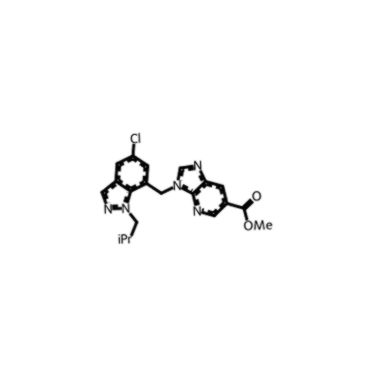 COC(=O)c1cnc2c(c1)ncn2Cc1cc(Cl)cc2cnn(CC(C)C)c12